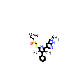 COCC[S+]([O-])CSc1nc(-c2cnc3nn(C)cc3c2)c(C#N)c(-c2ccccc2)c1C#N